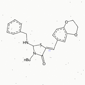 CCCCN1C(=O)/C(=C/c2ccc3c(c2)OCCO3)SC1NCc1ccccc1